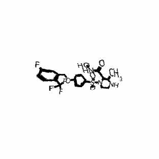 CC1NCCN(S(=O)(=O)c2ccc(OCc3cc(F)ccc3C(F)(F)F)cc2)C1C(=O)NO